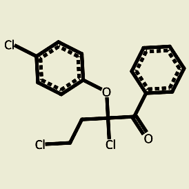 O=C(c1ccccc1)C(Cl)(CCCl)Oc1ccc(Cl)cc1